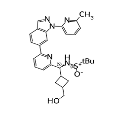 Cc1cccc(-n2ncc3ccc(-c4cccc([C@@H](N[S@+]([O-])C(C)(C)C)C5CC(CO)C5)n4)cc32)n1